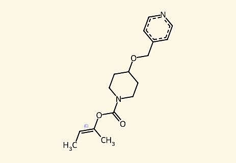 C/C=C(\C)OC(=O)N1CCC(OCc2ccncc2)CC1